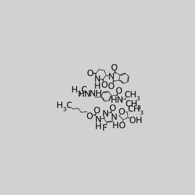 CCCCCOC(=O)Nc1nc(=O)n([C@@H]2O[C@H](C)[C@@H](O)[C@H]2O)cc1F.CNNCc1ccc(C(=O)NC(C)C)cc1.O=C1CCC(N2C(=O)c3ccccc3C2=O)C(=O)N1